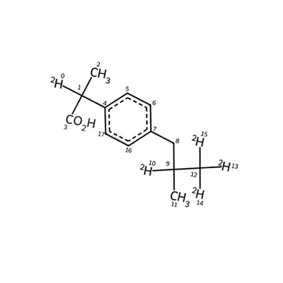 [2H]C(C)(C(=O)O)c1ccc(CC([2H])(C)C([2H])([2H])[2H])cc1